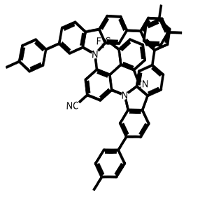 Cc1ccc(-c2ccc3c4ccc(-c5ccc(C)cc5)cc4n(-c4cc(C#N)cc(-n5c6cc(-c7ccc(C)cc7)ccc6c6ccc(-c7ccc(C)cc7)cc65)c4-c4c(C#N)cccc4C(F)(F)F)c3c2)cc1